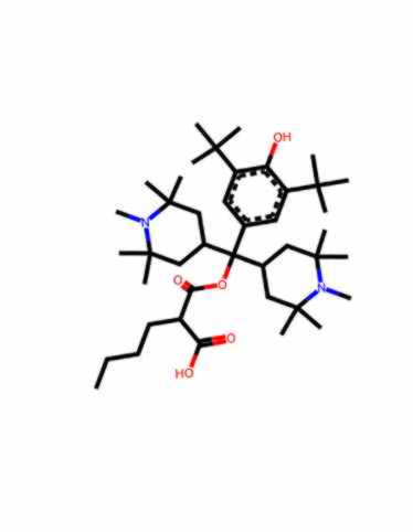 CCCCC(C(=O)O)C(=O)OC(c1cc(C(C)(C)C)c(O)c(C(C)(C)C)c1)(C1CC(C)(C)N(C)C(C)(C)C1)C1CC(C)(C)N(C)C(C)(C)C1